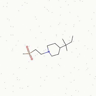 CCC(C)(C)C1CCN(CCS(C)(=O)=O)CC1